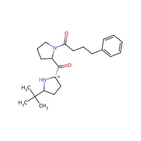 CC(C)(C)C1CC[C@@H](C(=O)C2CCCN2C(=O)CCCc2ccccc2)N1